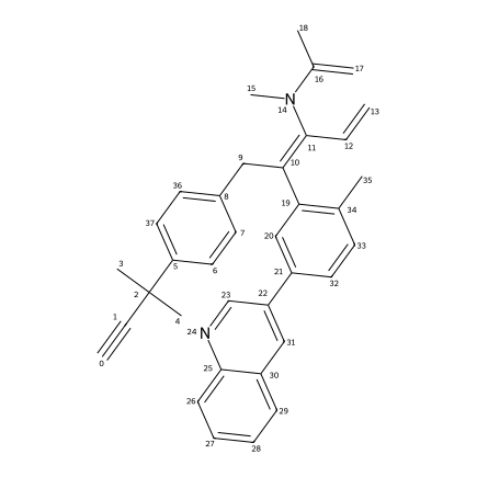 C#CC(C)(C)c1ccc(C/C(=C(/C=C)N(C)C(=C)C)c2cc(-c3cnc4ccccc4c3)ccc2C)cc1